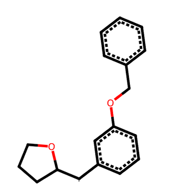 [CH](c1cccc(OCc2ccccc2)c1)C1CCCO1